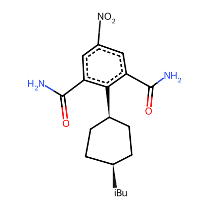 CCC(C)[C@H]1CC[C@@H](c2c(C(N)=O)cc([N+](=O)[O-])cc2C(N)=O)CC1